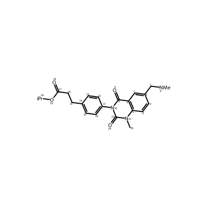 CNCc1ccc2c(c1)c(=O)n(-c1ccc(CCC(=O)OC(C)C)cc1)c(=O)n2C